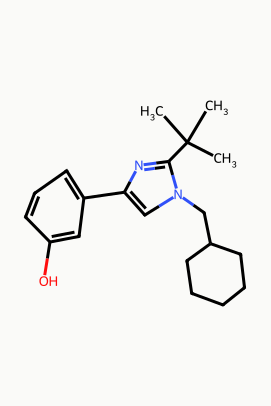 CC(C)(C)c1nc(-c2cccc(O)c2)cn1CC1CCCCC1